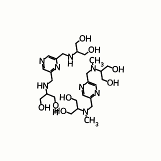 CN(Cc1cnc(CN(C)C(CO)CO)cn1)C(CO)CO.OCC(CO)NCc1cncc(CNC(CO)CO)n1